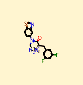 CCN(C(=O)[C@@H](N)Cc1cc(F)cc(F)c1)c1ccc2scnc2c1